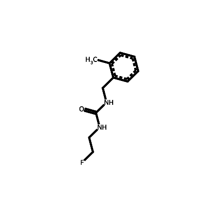 Cc1ccccc1CNC(=O)NCCF